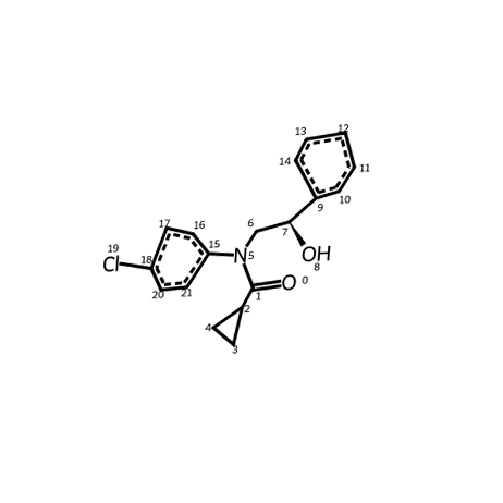 O=C(C1CC1)N(C[C@H](O)c1ccccc1)c1ccc(Cl)cc1